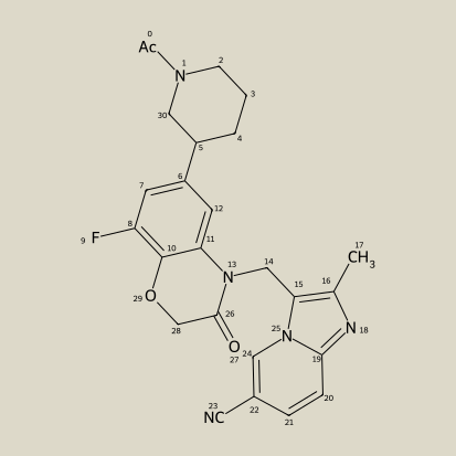 CC(=O)N1CCCC(c2cc(F)c3c(c2)N(Cc2c(C)nc4ccc(C#N)cn24)C(=O)CO3)C1